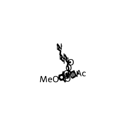 COc1cc(C)c(S(=O)(=O)N2CCN(C(C)=O)CC2COCC(=O)N2CCN(CCCN(C)C)CC2)c(C)c1